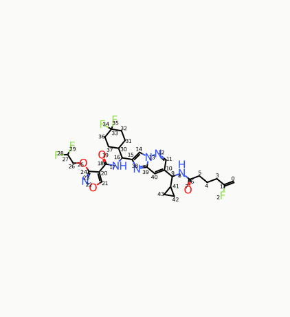 C=C(F)CCCC(=O)NC(c1cnn2cc([C@@H](NC(=O)c3conc3OCC(F)F)C3CCC(F)(F)CC3)nc2c1)C1CC1